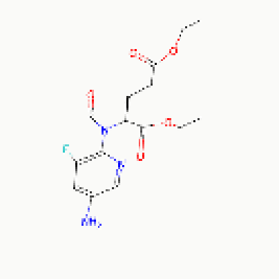 CCOC(=O)CC[C@@H](C(=O)OCC)N(C=O)c1ncc(N)cc1F